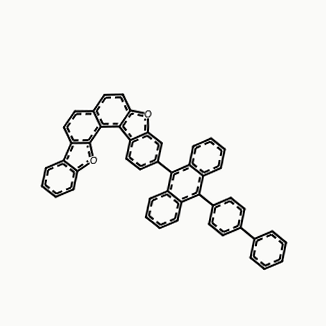 c1ccc(-c2ccc(-c3c4ccccc4c(-c4ccc5c(c4)oc4ccc6ccc7c8ccccc8oc7c6c45)c4ccccc34)cc2)cc1